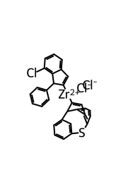 Clc1cccc2c1C(c1ccccc1)[C]([Zr+2][C]1=Cc3c4cccc3C1c1cccc(c1)S4)=C2.[Cl-].[Cl-]